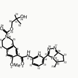 COc1cc2c(cc1C(=O)Nc1cccc(-c3nnc4n3[C@H](C)CC4)n1)CN(C(=O)OCC(C)(C)O)CC2